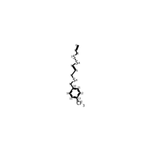 C=CCSSC=CCSCc1ccc(C(F)(F)F)cc1